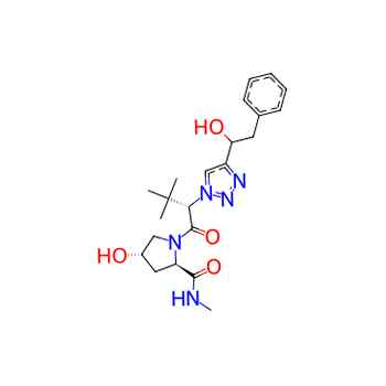 CNC(=O)[C@H]1C[C@H](O)CN1C(=O)[C@@H](n1cc(C(O)Cc2ccccc2)nn1)C(C)(C)C